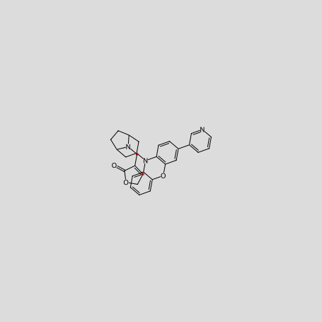 O=C1OCC=C1CN1C2CCC1CC(N1c3ccccc3Oc3cc(-c4cccnc4)ccc31)C2